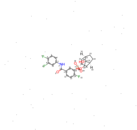 O=C(Nc1ccc(F)c(F)c1)c1ccc(F)c(S(=O)(=O)[C@@H]2C[C@H]3CC[C@@H](C2)[C@@]3(O)CO)c1